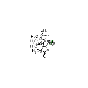 CC1=CC(C)[C]([Zr+2]([C]2=C(C)C(C)=CC2C)[GeH]([CH3])[CH3])=C1C.[Cl-].[Cl-]